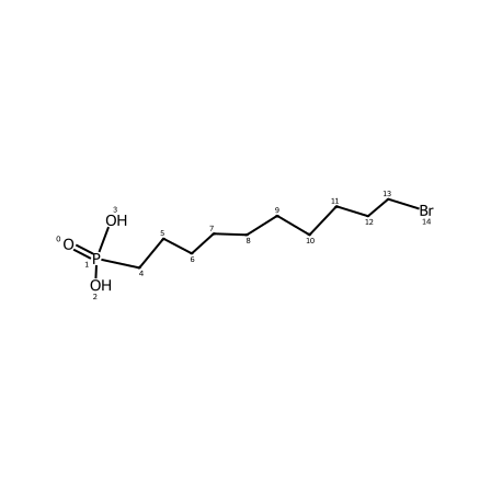 O=P(O)(O)CCCCCCCCCCBr